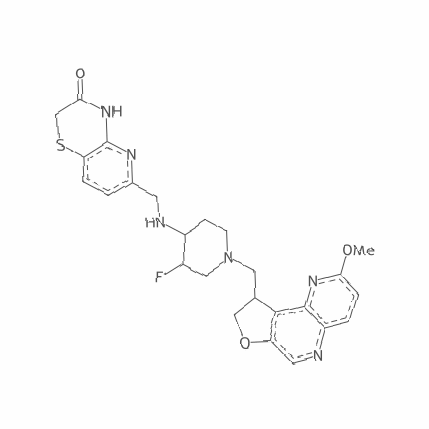 COc1ccc2ncc3c(c2n1)C(CN1CCC(NCc2ccc4c(n2)NC(=O)CS4)C(F)C1)CO3